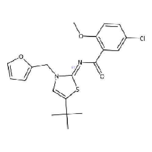 COc1ccc(Cl)cc1C(=O)/N=c1\sc(C(C)(C)C)cn1Cc1ccco1